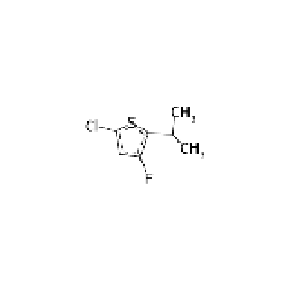 CC(C)c1sc(Cl)cc1F